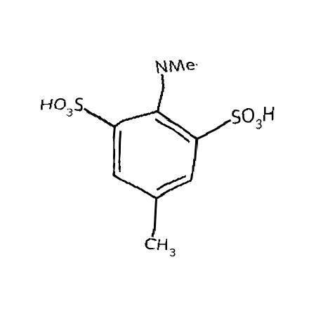 C[N]c1c(S(=O)(=O)O)cc(C)cc1S(=O)(=O)O